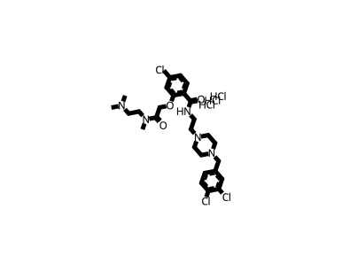 CN(C)CCN(C)C(=O)COc1cc(Cl)ccc1C(=O)NCCN1CCN(Cc2ccc(Cl)c(Cl)c2)CC1.Cl.Cl.Cl